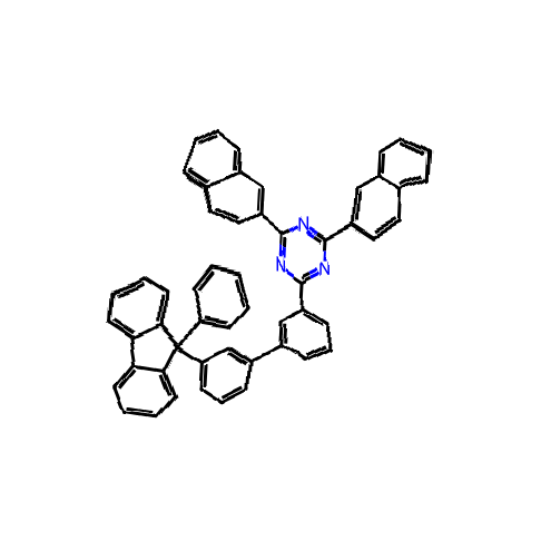 c1ccc(C2(c3cccc(-c4cccc(-c5nc(-c6ccc7ccccc7c6)nc(-c6ccc7ccccc7c6)n5)c4)c3)c3ccccc3-c3ccccc32)cc1